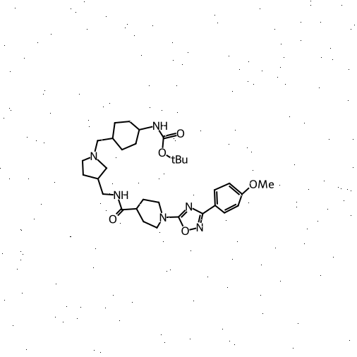 COc1ccc(-c2noc(N3CCC(C(=O)NCC4CCN(CC5CCC(NC(=O)OC(C)(C)C)CC5)C4)CC3)n2)cc1